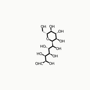 O=C[C@H](O)[C@@H](O)[C@H](O)[C@H](O)C(O)[C@H]1O[C@H](CO)[C@@H](O)[C@H](O)[C@H]1O